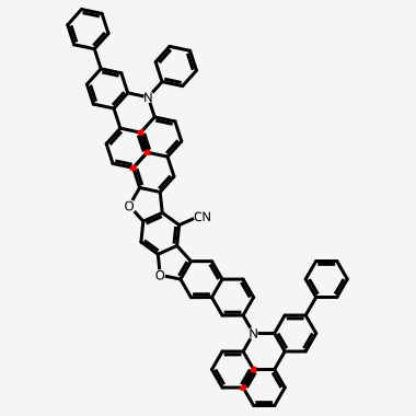 N#Cc1c2c(cc3oc4cc5cc(N(c6ccccc6)c6cc(-c7ccccc7)ccc6-c6ccccc6)ccc5cc4c13)oc1cc3cc(N(c4ccccc4)c4cc(-c5ccccc5)ccc4-c4ccccc4)ccc3cc12